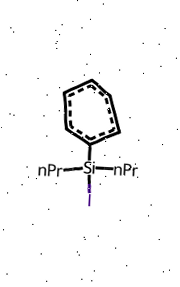 CCC[Si](I)(CCC)c1ccccc1